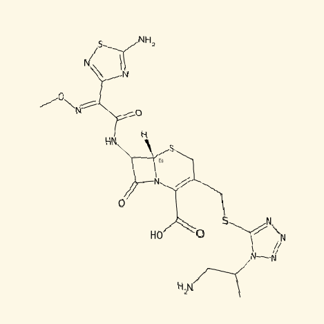 CON=C(C(=O)NC1C(=O)N2C(C(=O)O)=C(CSc3nnnn3C(C)CN)CS[C@@H]12)c1nsc(N)n1